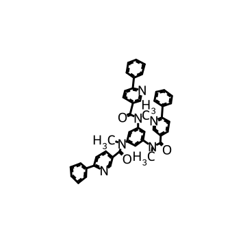 CN(C(=O)c1ccc(-c2ccccc2)nc1)c1cc(N(C)C(=O)c2ccc(-c3ccccc3)nc2)cc(N(C)C(=O)c2ccc(-c3ccccc3)nc2)c1